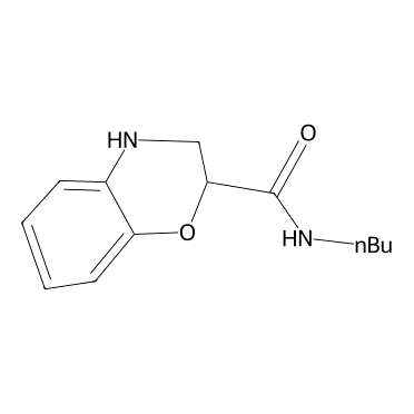 CCCCNC(=O)C1CNc2ccccc2O1